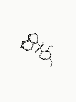 O=Cc1ccc(S(=O)(=O)c2cccc3ccccc23)c(C=O)c1